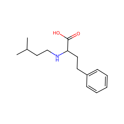 CC(C)CCNC(CCc1ccccc1)C(=O)O